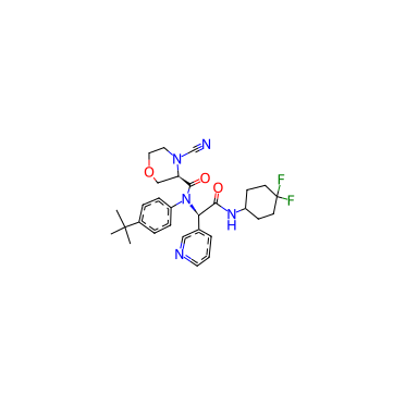 CC(C)(C)c1ccc(N(C(=O)[C@H]2COCCN2C#N)[C@@H](C(=O)NC2CCC(F)(F)CC2)c2cccnc2)cc1